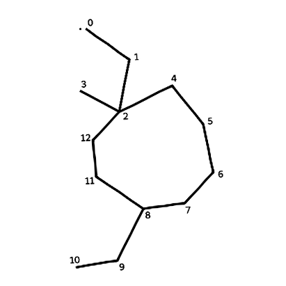 [CH2]CC1(C)CCCCC(CC)CC1